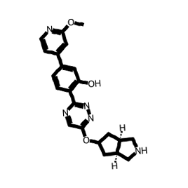 COc1cc(-c2ccc(-c3ncc(OC4C[C@H]5CNC[C@H]5C4)nn3)c(O)c2)ccn1